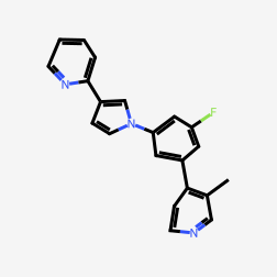 Cc1cnccc1-c1cc(F)cc(-n2ccc(-c3ccccn3)c2)c1